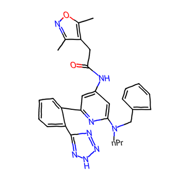 CCCN(Cc1ccccc1)c1cc(NC(=O)Cc2c(C)noc2C)cc(-c2ccccc2-c2nn[nH]n2)n1